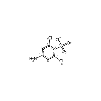 Nc1cc(Cl)c(S(=O)(=O)Cl)c(Cl)c1